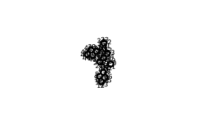 c1ccc(N(c2cc3ccc4cccc5ccc(c2)c3c45)c2cccc3cc4c(N(c5ccccc5)c5cc6ccc7cccc8ccc(c5)c6c78)cccc4cc23)cc1